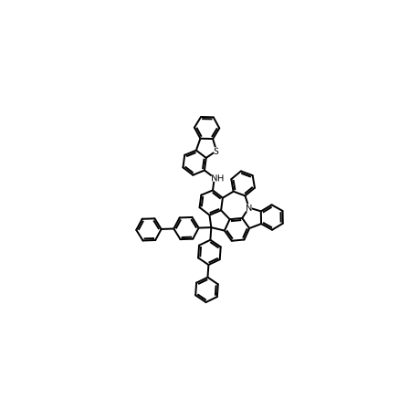 c1ccc(-c2ccc(C3(c4ccc(-c5ccccc5)cc4)c4ccc(Nc5cccc6c5sc5ccccc56)c5c4-c4c3ccc3c6ccccc6n(c43)-c3ccccc3-5)cc2)cc1